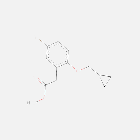 COC(=O)Cc1cc(Br)ccc1OCC1CC1